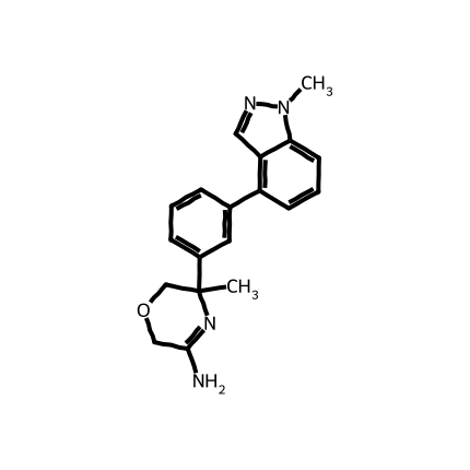 Cn1ncc2c(-c3cccc(C4(C)COCC(N)=N4)c3)cccc21